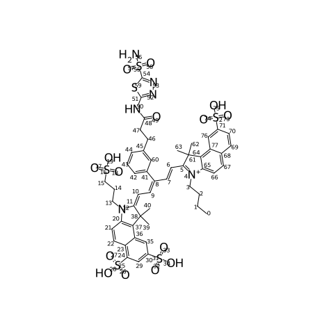 CCCC[N+]1=C(/C=C/C(=C/C=C2/N(CCCS(=O)(=O)O)c3ccc4c(S(=O)(=O)O)cc(S(=O)(=O)O)cc4c3C2(C)C)c2cccc(CCC(=O)Nc3nnc(S(N)(=O)=O)s3)c2)C(C)(C)c2c1ccc1ccc(S(=O)(=O)O)cc21